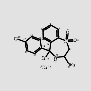 CCCCC1CS(=O)(=O)c2ccccc2C(CC)(c2ccc(Cl)cc2)N1.Cl